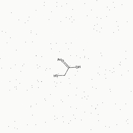 O=C(O)CS.[Au]